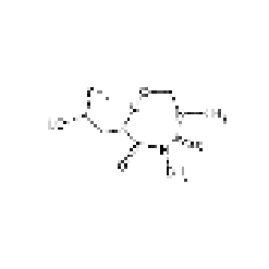 BN1C(=O)C(CC(C)C)COCN(C)C1=S